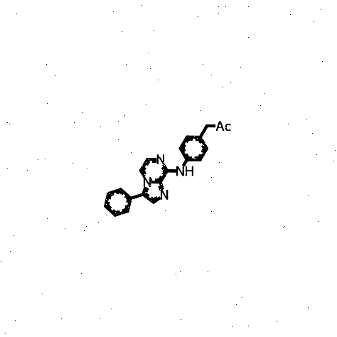 CC(=O)Cc1ccc(Nc2nccn3c(-c4ccccc4)cnc23)cc1